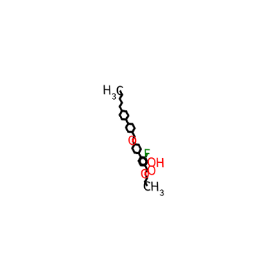 CCCCCC1CCC(C2CCC(COC3CCC(c4ccc(C(=O)OCCC)c(O)c4F)CC3)CC2)CC1